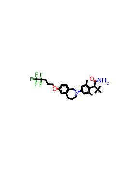 Cc1cc(N2CCCc3cc(OCCCC(F)(F)C(F)(F)F)ccc3C2)cc(C)c1C(C(N)=O)C(C)(C)C